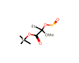 CCC(OC)(OP=O)C(=O)O[Si](C)(C)C